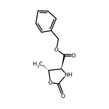 C[C@H]1OC(=O)N[C@@H]1C(=O)OCc1ccccc1